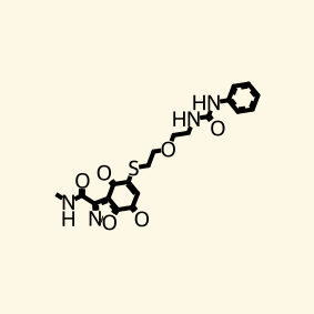 CNC(=O)c1noc2c1C(=O)C(SCCOCCNC(=O)Nc1ccccc1)=CC2=O